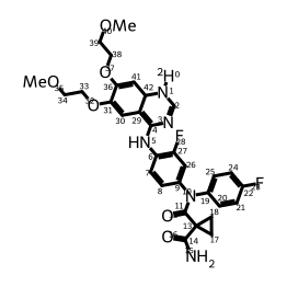 [2H]N1C=NC(Nc2ccc(N(C(=O)C3(C(N)=O)CC3)c3ccc(F)cc3)cc2F)=C2C=C(OCCOC)C(OCCOC)=CC21